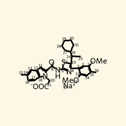 COc1cc(-c2nc(NC(=O)c3cc4cc(C)ccc4n3CC(=O)[O-])sc2C(C)C2CCCCC2)c(OC)cc1C.[Na+]